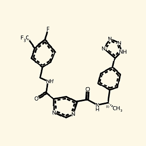 C[C@H](NC(=O)c1cc(C(=O)NCc2ccc(F)c(C(F)(F)F)c2)ncn1)c1ccc(-c2nnn[nH]2)cc1